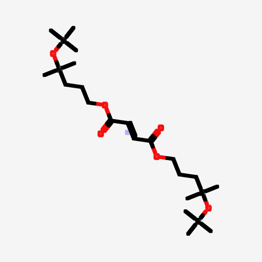 C[Si](C)(C)O[Si](C)(C)CCCOC(=O)/C=C/C(=O)OCCC[Si](C)(C)O[Si](C)(C)C